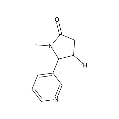 [2H]C1CC(=O)N(C)C1c1cccnc1